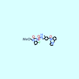 COCCN1C(=O)CN(OC(=O)NCc2ccc(C(=O)N3Cc4cccn4Cc4ccccc43)cc2C)c2c(F)cccc21